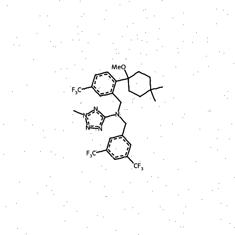 COC1(c2ccc(C(F)(F)F)cc2CN(Cc2cc(C(F)(F)F)cc(C(F)(F)F)c2)c2nnn(C)n2)CCC(C)(C)CC1